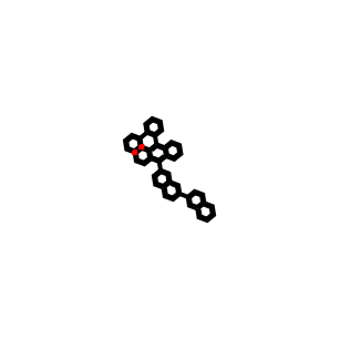 c1ccc(-c2ccccc2-c2c3ccccc3c(-c3ccc4ccc(-c5ccc6ccccc6c5)cc4c3)c3ccccc23)cc1